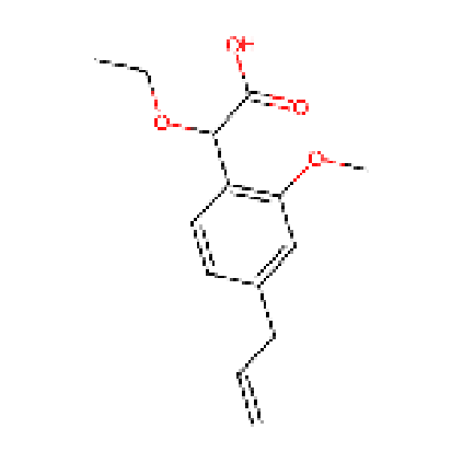 C=CCc1ccc(C(OCC)C(=O)O)c(OC)c1